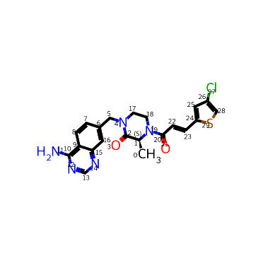 C[C@H]1C(=O)N(Cc2ccc3c(N)ncnc3c2)CCN1C(=O)C=Cc1cc(Cl)cs1